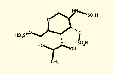 CC(O)C(O)[C@@H]1C(COS(=O)(=O)O)OCC(NS(=O)(=O)O)[C@@H]1OS(=O)(=O)O